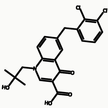 CC(C)(O)Cn1cc(C(=O)O)c(=O)c2cc(Cc3cccc(Cl)c3Cl)ccc21